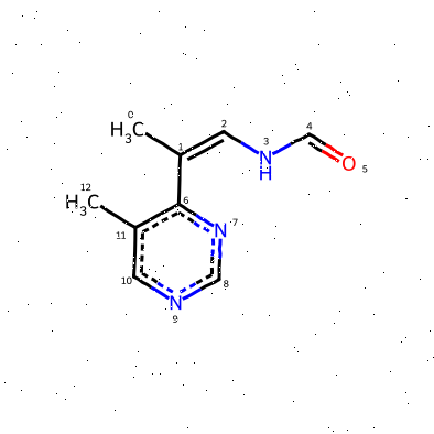 C/C(=C/NC=O)c1ncncc1C